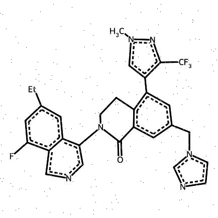 CCc1cc(F)c2cncc(N3CCc4c(cc(Cn5ccnc5)cc4-c4cn(C)nc4C(F)(F)F)C3=O)c2c1